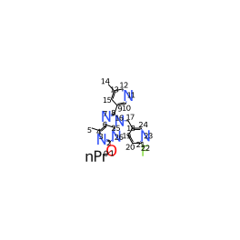 CCCOc1nc(C)c2nc(-c3cncc(C)c3)n(Cc3ccc(F)nc3)c2n1